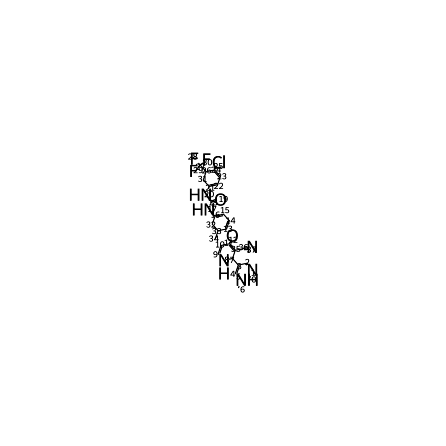 C/N=C\C(=C/NC)C1NC=CC(OC2=CC=C(NC(=O)NC3=CC=C(Cl)C(C(F)(F)F)C3)CC2C)=C1C#N